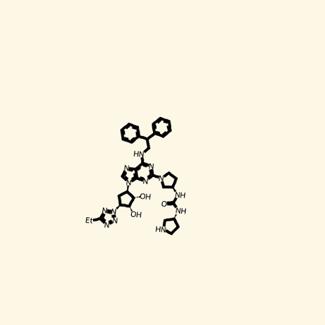 CCc1nnn([C@H]2C[C@@H](n3cnc4c(NCC(c5ccccc5)c5ccccc5)nc(N5CC[C@@H](NC(=O)N[C@@H]6CCNC6)C5)nc43)[C@H](O)[C@@H]2O)n1